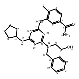 Cc1ccc(C(N)=O)cc1Nc1nc(NC2CCCC2)nc(N(CCO)Cc2ccccc2)n1